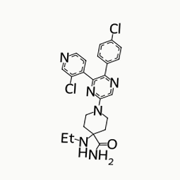 CCNC1(C(N)=O)CCN(c2cnc(-c3ccc(Cl)cc3)c(-c3ccncc3Cl)n2)CC1